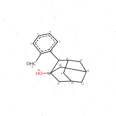 O=Cc1ccccc1C1C2CC3CC(C2)CC1(O)C3